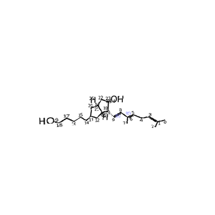 CC(C)=CC/C=C(C)/C=C/[C@@H]1[C@H]2CC(CCCCCO)C[C@H]2C[C@H]1O